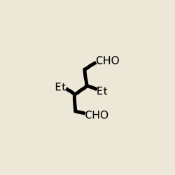 CCC(CC=O)C(CC)CC=O